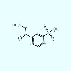 CCOC(=O)CC(N)c1cc(S(C)(=O)=O)ccn1